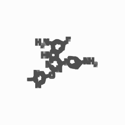 Cc1ncc(Oc2nc(N3CC4CC3C[C@@H]4N)c3c(n2)[nH]c2c(N)cc(F)cc23)cn1